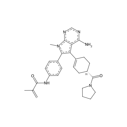 C=C(C)C(=O)Nc1ccc(-c2c(C3=CC[C@@H](C(=O)N4CCCC4)CC3)c3c(N)ncnc3n2C)cc1